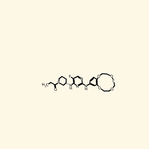 CCC(=O)N1CCC[C@H](Nc2nc(Nc3ccc4c(c3)OCCOCCOCCO4)ncc2F)C1